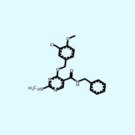 C.COc1ccc(COc2nc(S)ncc2C(=O)NCc2ccccc2)cc1Cl